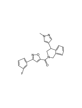 Cn1cc(C2CN(C(=O)c3cc(-c4cccc(F)c4)no3)Cc3ccccc32)cn1